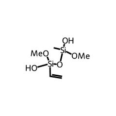 C=C[Si](O)(OC)O[Si](C)(O)OC